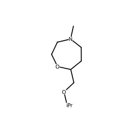 CC(C)OCC1CCN(C)CCO1